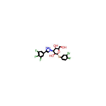 OCC1O[C@H](Sc2ccc(F)c(Br)c2)C(O)C(n2cc(-c3cc(F)c(F)c(F)c3)nn2)[C@H]1O